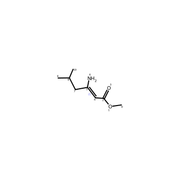 COC(=O)/C=C(\N)CC(C)C